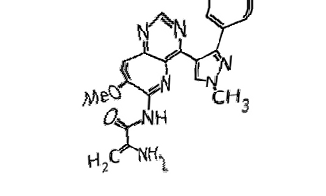 C=C(N)C(=O)Nc1nc2c(-c3cn(C)nc3-c3ccccc3)ncnc2cc1OC